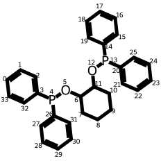 c1ccc(P(OC2CCCCC2OP(c2ccccc2)c2ccccc2)c2ccccc2)cc1